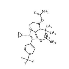 CC(C)(C)C1c2c(OC(N)=O)c(-c3ccc(C(F)(F)F)cc3)c(C3CC3)n2CCN1OC(N)=O